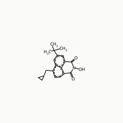 CC(C)(C)c1cc2c3c(ccc(CC4CC4)c3c1)C(=O)N(O)C2=O